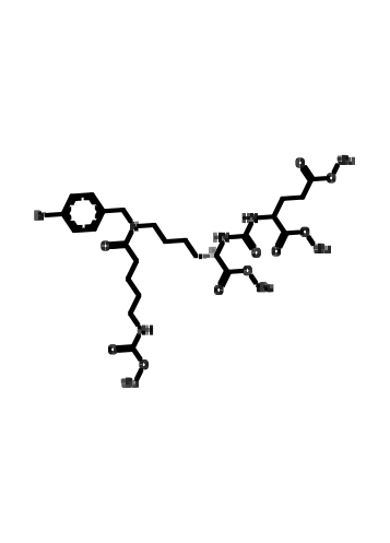 CC(C)(C)OC(=O)CCC(NC(=O)N[C@@H](CCCCN(Cc1ccc(Br)cc1)C(=O)CCCCNC(=O)OC(C)(C)C)C(=O)OC(C)(C)C)C(=O)OC(C)(C)C